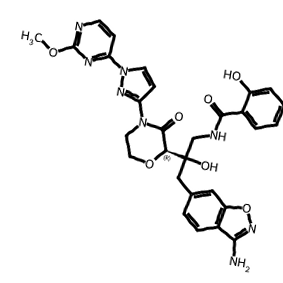 COc1nccc(-n2ccc(N3CCO[C@H](C(O)(CNC(=O)c4ccccc4O)Cc4ccc5c(N)noc5c4)C3=O)n2)n1